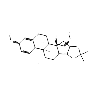 CC1(C)O[C@@H]2C[C@H]3[C@@H]4CCC5=CC(=NO)C=C[C@]5(C)[C@@]4(F)[C@@H](O)C[C@]3(C)[C@]2(/C(CO)=N/O)O1